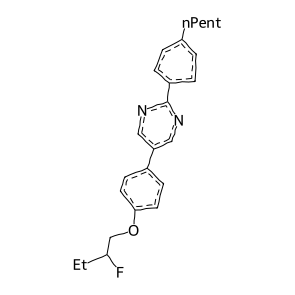 CCCCCc1ccc(-c2ncc(-c3ccc(OCC(F)CC)cc3)cn2)cc1